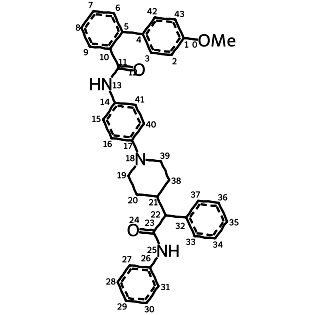 COc1ccc(-c2ccccc2C(=O)Nc2ccc(N3CCC(C(C(=O)Nc4ccccc4)c4ccccc4)CC3)cc2)cc1